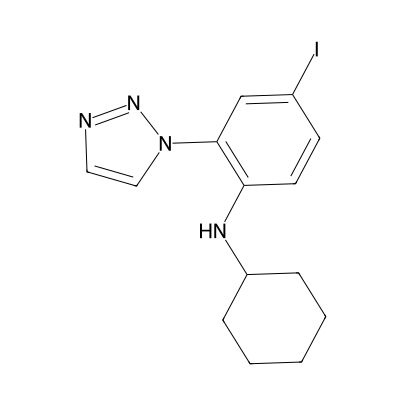 Ic1ccc(NC2CCCCC2)c(-n2ccnn2)c1